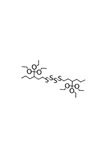 CCCC(CCSSSSCCC(CCC)C(OCC)(OCC)OCC)C(OCC)(OCC)OCC